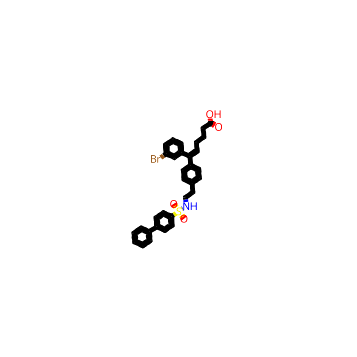 O=C(O)CCC/C=C(/c1ccc(CCNS(=O)(=O)c2ccc(-c3ccccc3)cc2)cc1)c1cccc(Br)c1